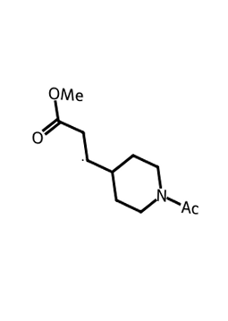 COC(=O)C[CH]C1CCN(C(C)=O)CC1